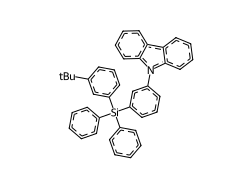 CC(C)(C)c1cccc([Si](c2ccccc2)(c2ccccc2)c2cccc(-n3c4ccccc4c4ccccc43)c2)c1